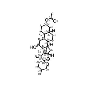 CC(=O)O[C@H]1CC[C@]2(C)C3C[C@@H](O)[C@]4(C)C5[C@H](C[C@H]4[C@@H]3CC[C@H]2C1)O[C@]1(CCC(C)CO1)[C@H]5C